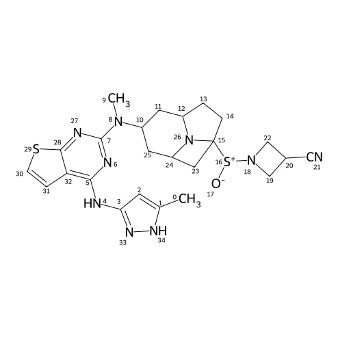 Cc1cc(Nc2nc(N(C)C3CC4CCC5([S+]([O-])N6CC(C#N)C6)CC(C3)N45)nc3sccc23)n[nH]1